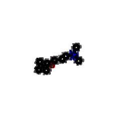 c1ccc(-c2nc(-c3ccccc3)nc(-c3ccc4cc(-c5ccc6c(c5)oc5cc(C7(c8ccccc8)c8ccccc8-c8ccccc87)ccc56)ccc4c3)n2)cc1